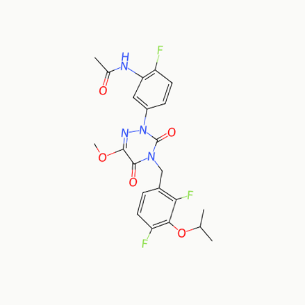 COc1nn(-c2ccc(F)c(NC(C)=O)c2)c(=O)n(Cc2ccc(F)c(OC(C)C)c2F)c1=O